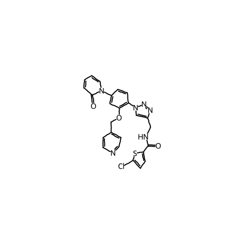 O=C(NCc1cn(-c2ccc(-n3ccccc3=O)cc2OCc2ccncc2)nn1)c1ccc(Cl)s1